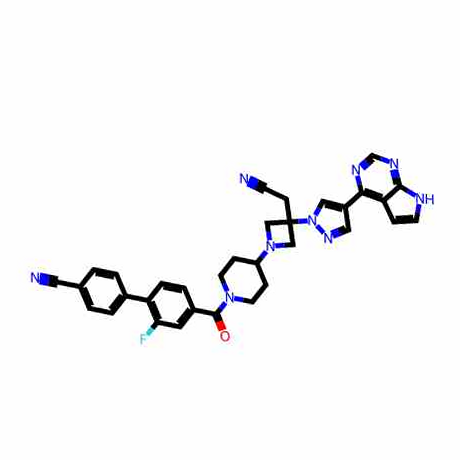 N#CCC1(n2cc(-c3ncnc4[nH]ccc34)cn2)CN(C2CCN(C(=O)c3ccc(-c4ccc(C#N)cc4)c(F)c3)CC2)C1